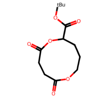 CC(C)(C)OC(=O)C1CCCOC(=O)CCC(=O)O1